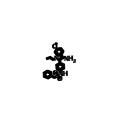 CCCn1c(-c2ccc(NS(=O)(=O)Cc3ccccc3)cc2)c(N)c2ccc(OC)cc21